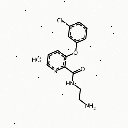 Cl.NCCNC(=O)c1ncccc1Oc1cccc(Cl)c1